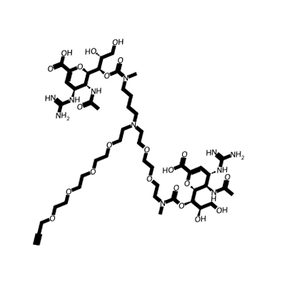 C#CCOCCOCCOCCOCCN(CCCCN(C)C(=O)O[C@@H]([C@@H]1OC(C(=O)O)=C[C@H](NC(=N)N)[C@H]1NC(C)=O)[C@H](O)CO)CCOCCOCCN(C)C(=O)O[C@@H]([C@@H]1OC(C(=O)O)=C[C@H](NC(=N)N)[C@H]1NC(C)=O)[C@H](O)CO